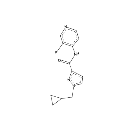 O=C(Nc1ccncc1F)c1ccn(CC2CC2)n1